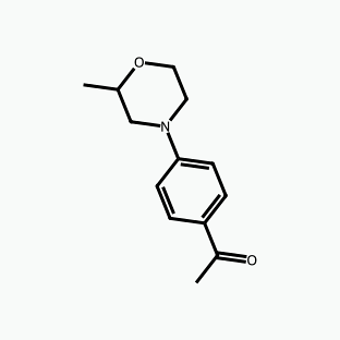 CC(=O)c1ccc(N2CCOC(C)C2)cc1